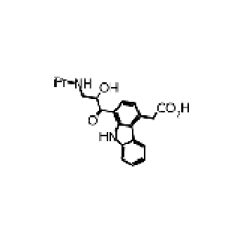 CC(C)NC[C@@H](O)C(=O)c1ccc(CC(=O)O)c2c1[nH]c1ccccc12